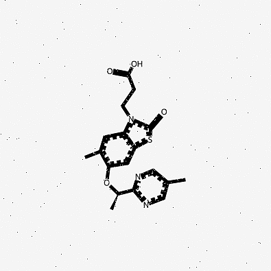 Cc1cnc([C@@H](C)Oc2cc3sc(=O)n(CCC(=O)O)c3cc2C)nc1